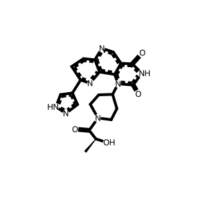 C[C@H](O)C(=O)N1CCC(n2c(=O)[nH]c(=O)c3cnc4ccc(-c5cn[nH]c5)nc4c32)CC1